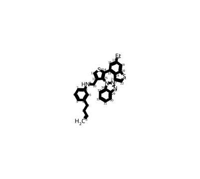 C=CCCc1cccc(NCc2csc(-c3cc(CC)cc4sccc34)c2-n2nnc3ccccc32)c1